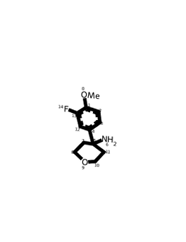 COc1ccc(C2(N)CCOCC2)cc1F